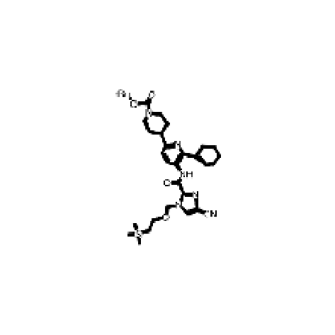 CC(C)(C)OC(=O)N1CCC(c2ccc(NC(=O)c3nc(C#N)cn3COCC[Si](C)(C)C)c(C3=CCCCC3)n2)CC1